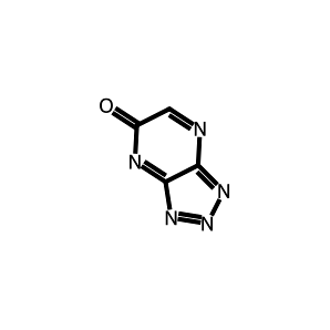 O=C1C=NC2=NN=NC2=N1